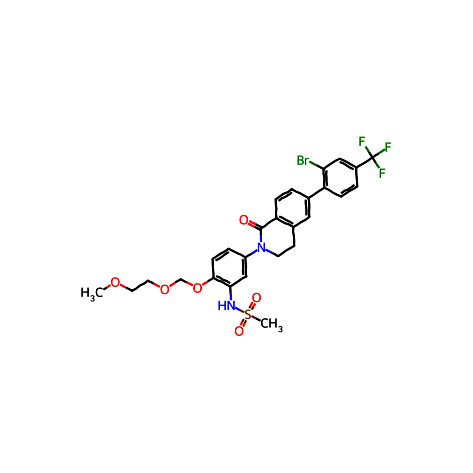 COCCOCOc1ccc(N2CCc3cc(-c4ccc(C(F)(F)F)cc4Br)ccc3C2=O)cc1NS(C)(=O)=O